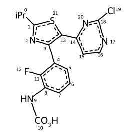 CC(C)c1nc(-c2cccc(NC(=O)O)c2F)c(-c2ccnc(Cl)n2)s1